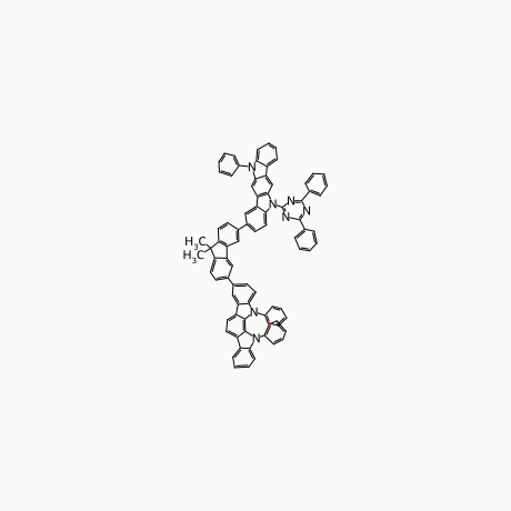 CC1(C)c2ccc(-c3ccc4c(c3)c3cc5c(cc3n4-c3nc(-c4ccccc4)nc(-c4ccccc4)n3)c3ccccc3n5-c3ccccc3)cc2-c2cc(-c3ccc4c(c3)c3ccc5c6ccccc6n(-c6ccccc6)c5c3n4-c3ccccc3)ccc21